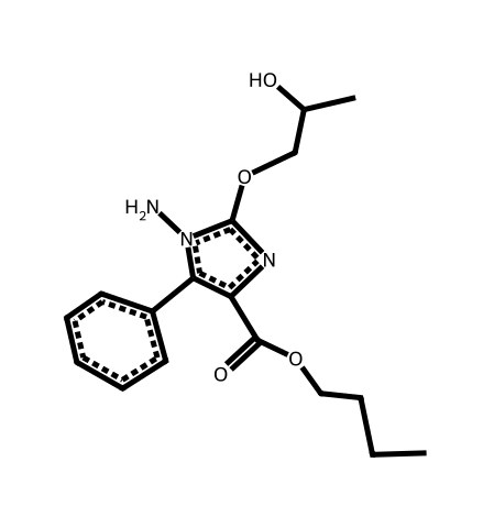 CCCCOC(=O)c1nc(OCC(C)O)n(N)c1-c1ccccc1